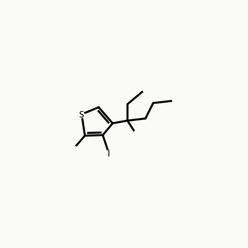 CCCC(C)(CC)c1csc(C)c1I